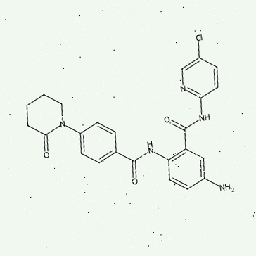 Nc1ccc(NC(=O)c2ccc(N3CCCCC3=O)cc2)c(C(=O)Nc2ccc(Cl)cn2)c1